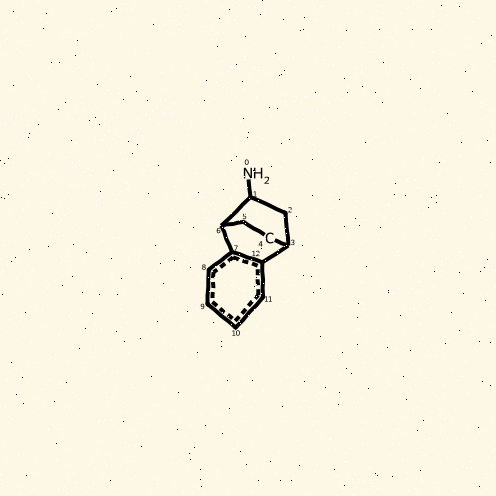 NC1CC2CCC1c1ccccc12